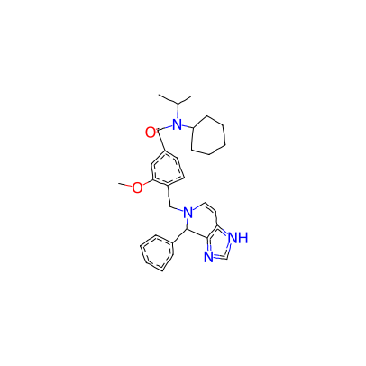 COc1cc(C(=O)N(C(C)C)C2CCCCC2)ccc1CN1C=Cc2[nH]cnc2C1c1ccccc1